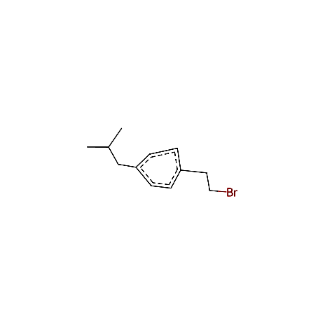 CC(C)Cc1ccc(CCBr)cc1